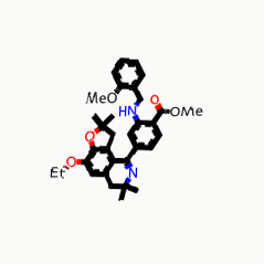 CCOc1cc2c(c3c1OC(C)(C)C3)C(c1ccc(C(=O)OC)c(NCc3ccccc3OC)c1)=NC(C)(C)C2